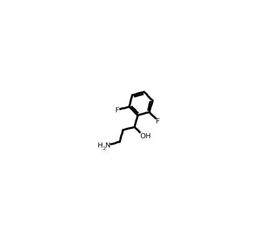 NCCC(O)c1c(F)cccc1F